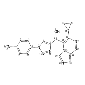 Nc1ccc(-n2cc(C(O)c3c(C4CC4)ncc4cncn34)nn2)cc1